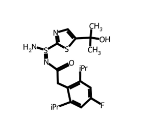 CC(C)c1cc(F)cc(C(C)C)c1CC(=O)/N=S(/N)c1ncc(C(C)(C)O)s1